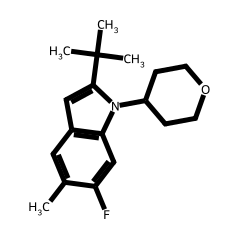 Cc1cc2cc(C(C)(C)C)n(C3CCOCC3)c2cc1F